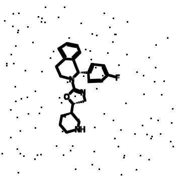 Fc1ccc([C@H]2c3ccccc3CCN2C2=NC[C@H]([C@@H]3CCCNC3)O2)cc1